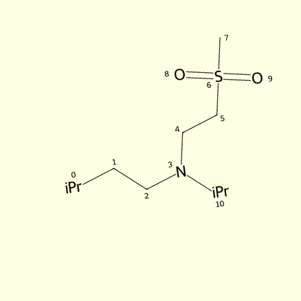 CC(C)CCN(CCS(C)(=O)=O)C(C)C